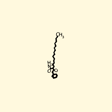 CCCCCCCCCCCCCCCCC(C(N)=O)C(=O)Cc1ccccc1